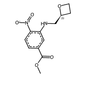 COC(=O)c1ccc([N+](=O)[O-])c(NC[C@@H]2CCO2)c1